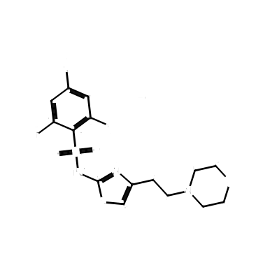 Cl.O=S(=O)(Nc1nc(CCN2CCOCC2)cs1)c1c(Cl)cc(Cl)cc1Cl